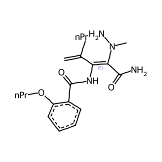 C=C(CCC)/C(NC(=O)c1ccccc1OCCC)=C(/C(N)=O)N(C)N